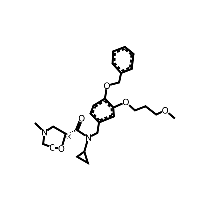 COCCCOc1cc(CN(C(=O)[C@H]2CN(C)CCO2)C2CC2)ccc1OCc1ccccc1